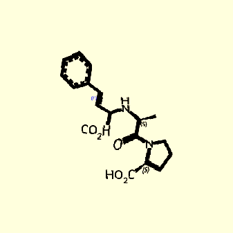 C[C@H](NC(/C=C/c1ccccc1)C(=O)O)C(=O)N1CCC[C@H]1C(=O)O